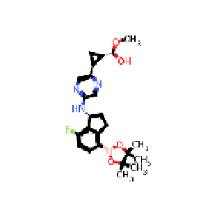 COC(O)[C@H]1C[C@@H]1c1cnc(N[C@@H]2CCc3c(B4OC(C)(C)C(C)(C)O4)ccc(F)c32)cn1